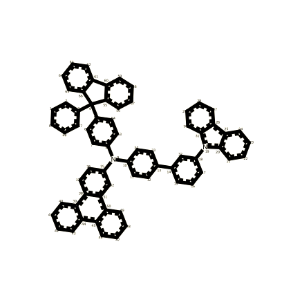 c1ccc(C2(c3ccc(N(c4ccc(-c5cccc(-n6c7ccccc7c7ccccc76)c5)cc4)c4ccc5c6ccccc6c6ccccc6c5c4)cc3)c3ccccc3-c3ccccc32)cc1